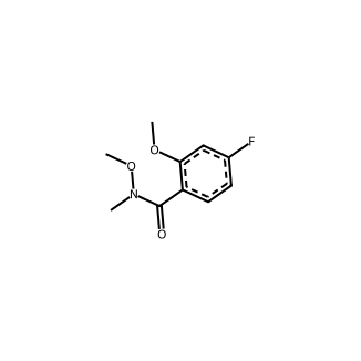 COc1cc(F)ccc1C(=O)N(C)OC